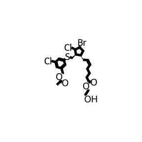 CC(=O)OCc1cc(Cl)cc(SC[C@H]2C(Cl)C(Br)C[C@@H]2C/C=C\CCCC(=O)OCCO)c1